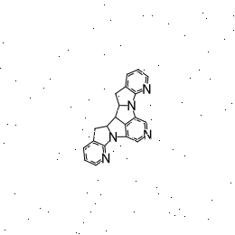 c1cnc2c(c1)CC1C3c4c(cncc4N4c5ncccc5CC34)N21